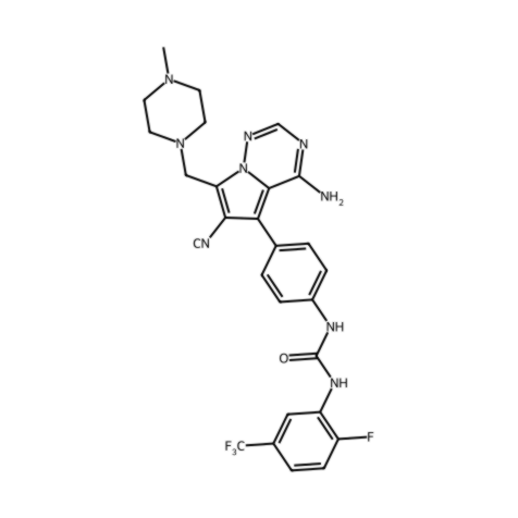 [C-]#[N+]c1c(-c2ccc(NC(=O)Nc3cc(C(F)(F)F)ccc3F)cc2)c2c(N)ncnn2c1CN1CCN(C)CC1